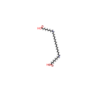 O=C(O)CCCCCCC/C=C\CCCCCCCCCCCCCCCCC/C=C\CCCCCCCC(=O)O